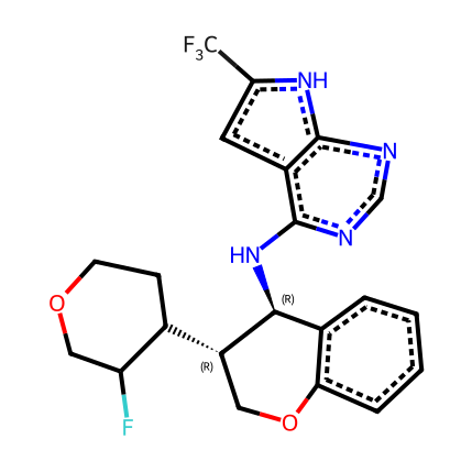 FC1COCCC1[C@H]1COc2ccccc2[C@@H]1Nc1ncnc2[nH]c(C(F)(F)F)cc12